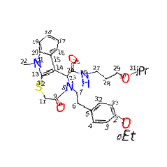 CCOc1ccc(CCN2C(=O)CSc3c(c4ccccc4n3C)C2C(=O)NCCCOC(C)C)cc1